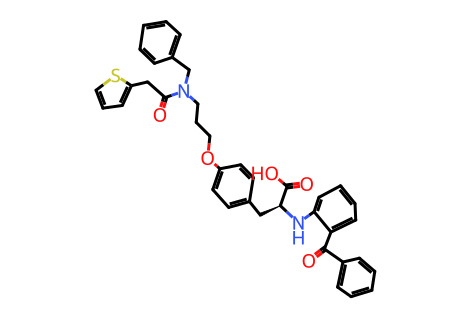 O=C(c1ccccc1)c1ccccc1N[C@@H](Cc1ccc(OCCCN(Cc2ccccc2)C(=O)Cc2cccs2)cc1)C(=O)O